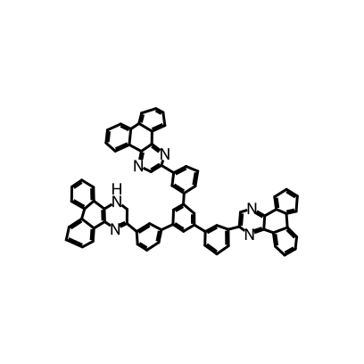 c1cc(C2=Nc3c(c4ccccc4c4ccccc34)NC2)cc(-c2cc(-c3cccc(-c4cnc5c6ccccc6c6ccccc6c5n4)c3)cc(-c3cccc(-c4cnc5c6ccccc6c6ccccc6c5n4)c3)c2)c1